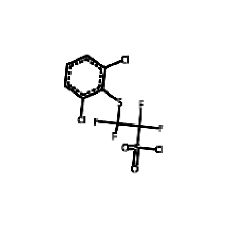 O=S(=O)(Cl)C(F)(F)C(F)(F)Sc1c(Cl)cccc1Cl